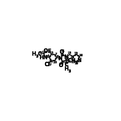 CC(=O)Nc1c(F)cc(N2C(=O)N(Cc3ccncc3)C(C)(C)C2=O)cc1Cl